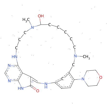 CN1CCCCCC(O)N(C)CCCNc2ncnc3c2/C(=C/Nc2ccc(N4CCOCC4)c(c2)C1)C(=O)N3